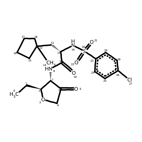 CC[C@@H]1OCC(=O)[C@H]1NC(=O)[C@H](CC1(C)CCCC1)NS(=O)(=O)c1ccc(Cl)cc1